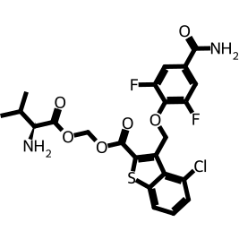 CC(C)[C@H](N)C(=O)OCOC(=O)c1sc2cccc(Cl)c2c1COc1c(F)cc(C(N)=O)cc1F